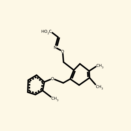 CC1=C(C)CC(COc2ccccc2C)=C(CON=CC(=O)O)C1